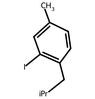 Cc1ccc(CC(C)C)c(I)c1